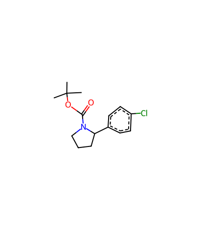 CC(C)(C)OC(=O)N1CCCC1c1ccc(Cl)cc1